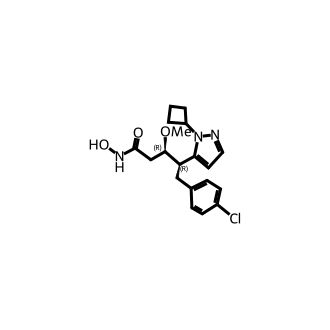 CO[C@H](CC(=O)NO)[C@H](Cc1ccc(Cl)cc1)c1ccnn1C1CCC1